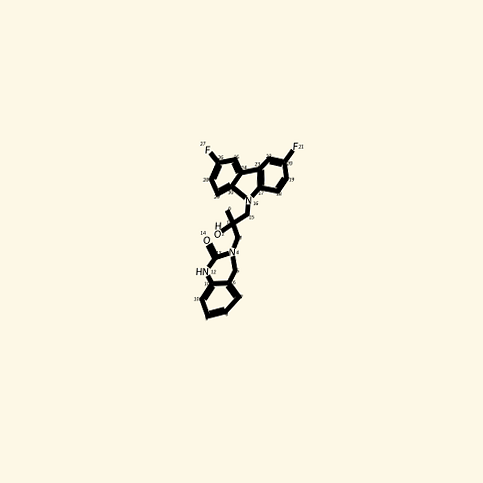 CC(O)(CN1Cc2ccccc2NC1=O)Cn1c2ccc(F)cc2c2cc(F)ccc21